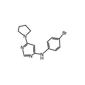 Brc1ccc(Nc2cc(N3CCCC3)ncn2)cc1